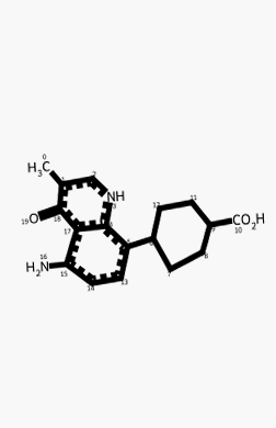 Cc1c[nH]c2c(C3CCC(C(=O)O)CC3)ccc(N)c2c1=O